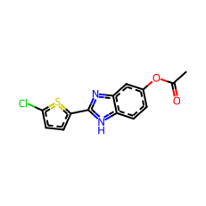 CC(=O)Oc1ccc2[nH]c(-c3ccc(Cl)s3)nc2c1